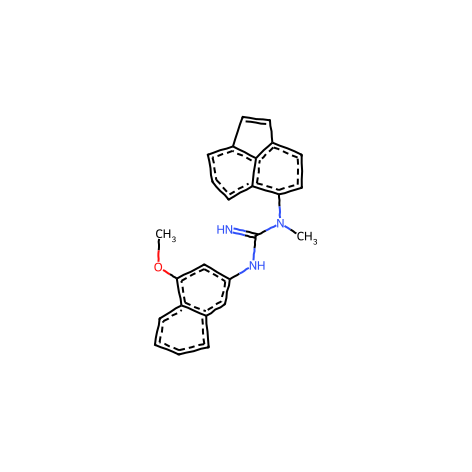 COc1cc(NC(=N)N(C)c2ccc3c4c(cccc24)C=C3)cc2ccccc12